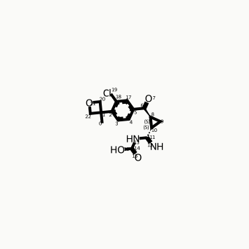 CC1(c2ccc(C(=O)[C@H]3C[C@@H]3C(=N)NC(=O)O)cc2Cl)COC1